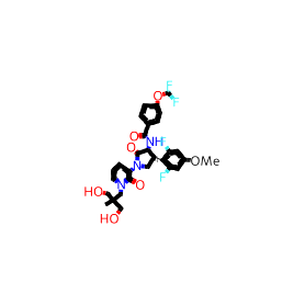 COc1cc(F)c([C@@H]2CN(c3cccn(CC(C)(CO)CO)c3=O)C(=O)C2NC(=O)c2ccc(OC(F)F)cc2)c(F)c1